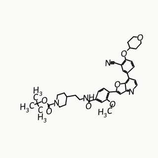 COc1cc(C(=O)NCCC2CCN(C(=O)OC(C)(C)C)CC2)ccc1-c1cc2nccc(-c3ccc(OC4CCOCC4)c(C#N)c3)c2o1